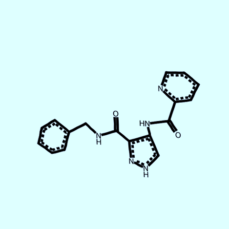 O=C(Nc1c[nH]nc1C(=O)NCc1ccccc1)c1ccccn1